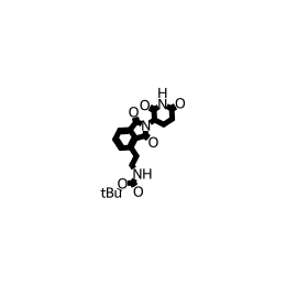 CC(C)(C)OC(=O)NCCc1cccc2c1C(=O)N(C1CCC(=O)NC1=O)C2=O